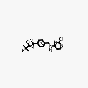 CC(C)(F)c1nc(C23CCC(CNc4ccnc(Cl)n4)(CC2)CC3)no1